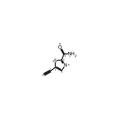 C#Cc1cnc(C(N)=O)s1